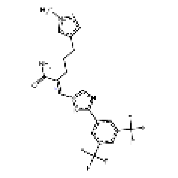 Cn1cc(CCC/C(=C\n2cnc(-c3cc(C(F)(F)F)cc(C(F)(F)F)c3)n2)C(N)=O)cn1